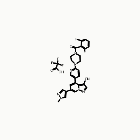 Cn1cc(-c2cc(-c3ccc(N4CCN(C(=O)c5c(F)cccc5F)CC4)nc3)c3c(C#N)cnn3c2)cn1.O=C(O)C(F)(F)F